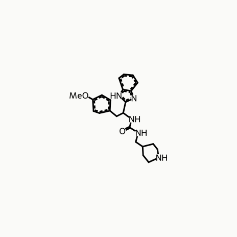 COc1ccc(CC(NC(=O)NCC2CCNCC2)c2nc3ccccc3[nH]2)cc1